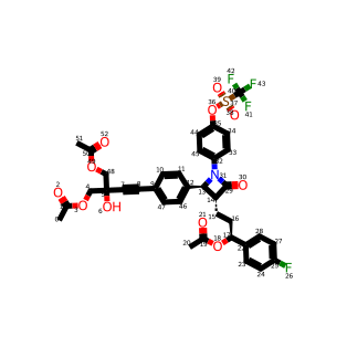 CC(=O)OCC(O)(C#Cc1ccc([C@@H]2[C@@H](CC[C@H](OC(C)=O)c3ccc(F)cc3)C(=O)N2c2ccc(OS(=O)(=O)C(F)(F)F)cc2)cc1)COC(C)=O